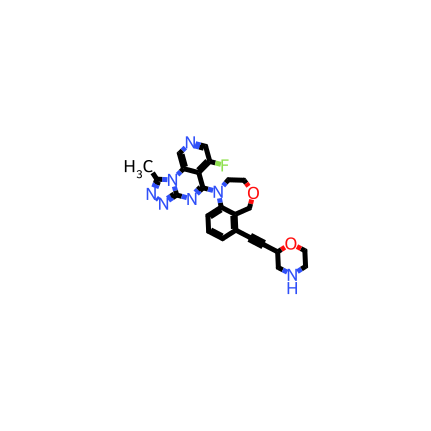 Cc1nnc2nc(N3CCOCc4c(C#CC5CNCCO5)cccc43)c3c(F)cncc3n12